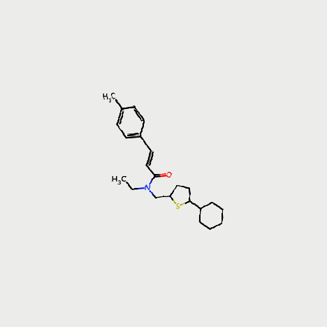 CCN(CC1CCC(C2CCCCC2)S1)C(=O)/C=C/c1ccc(C)cc1